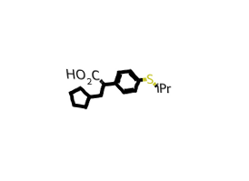 CC(C)Sc1ccc(C(CC2CCCC2)C(=O)O)cc1